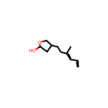 C=C/C=C(\C)CCC1COC(O)C1